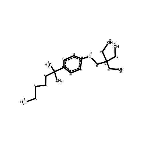 CCCCCC(C)(C)c1ccc(OCC(CO)(CO)CO)cc1